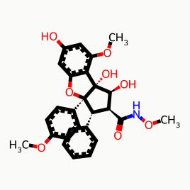 CONC(=O)[C@@H]1[C@H](O)[C@]2(O)c3c(OC)cc(O)cc3O[C@]2(c2ccc(OC)cc2)[C@H]1c1ccccc1